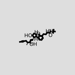 CC#CC[C@H](C)[C@H](O)/C=C/[C@@H]1[C@H]2c3cccc(CCCC(=O)NC(C)(C)C)c3O[C@H]2C[C@H]1O